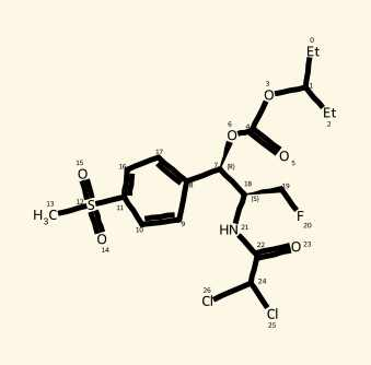 CCC(CC)OC(=O)O[C@H](c1ccc(S(C)(=O)=O)cc1)[C@@H](CF)NC(=O)C(Cl)Cl